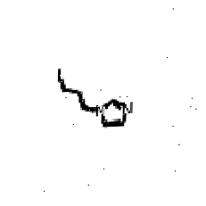 ICCCn1ccnc1